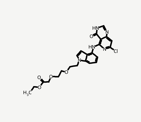 CCOC(=O)COCCOCCn1ccc2c(Nc3nc(Cl)cc4nc[nH]c(=O)c34)cccc21